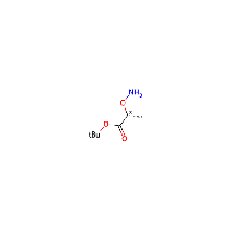 C[C@@H](ON)C(=O)OC(C)(C)C